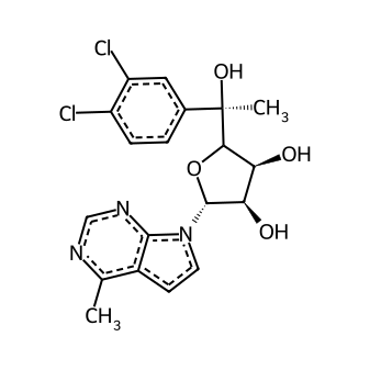 Cc1ncnc2c1ccn2[C@@H]1OC([C@](C)(O)c2ccc(Cl)c(Cl)c2)[C@@H](O)[C@H]1O